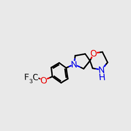 FC(F)(F)Oc1ccc(N2CCC3(CNCCO3)C2)cc1